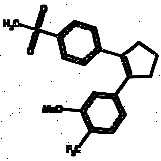 COc1cc(C2=C(c3ccc(S(C)(=O)=O)cc3)CCC2)ccc1C(F)(F)F